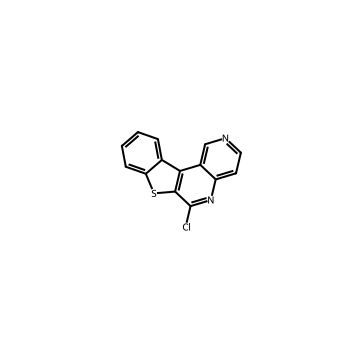 Clc1nc2ccncc2c2c1sc1ccccc12